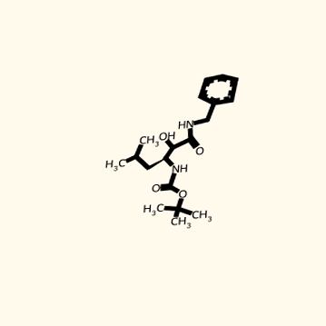 CC(C)C[C@H](NC(=O)OC(C)(C)C)C(O)C(=O)NCc1ccccc1